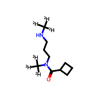 [2H]C([2H])([2H])NCCCN(C(=O)C1CCC1)C([2H])([2H])[2H]